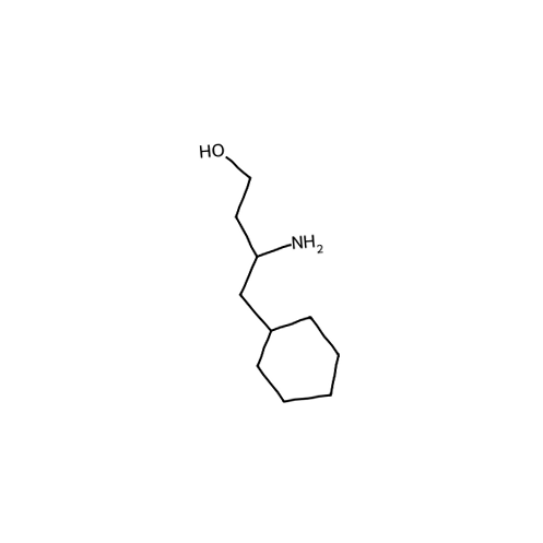 NC(CCO)CC1CCCCC1